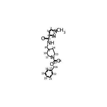 Cn1ccc(C(=O)NCC2CCN(C(=O)OCc3ccccc3)CC2)n1